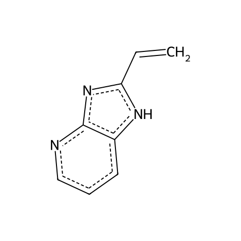 C=Cc1nc2ncccc2[nH]1